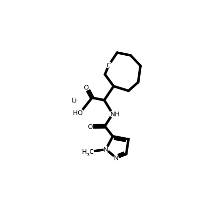 Cn1nccc1C(=O)NC(C(=O)O)C1CCCCCCC1.[Li]